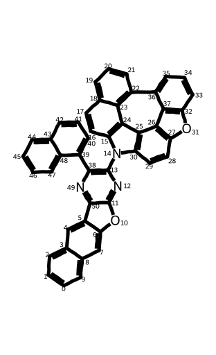 c1ccc2cc3c(cc2c1)oc1nc(-n2c4ccc5cccc6c5c4c4c5c(ccc42)oc2cccc-6c25)c(-c2cccc4ccccc24)nc13